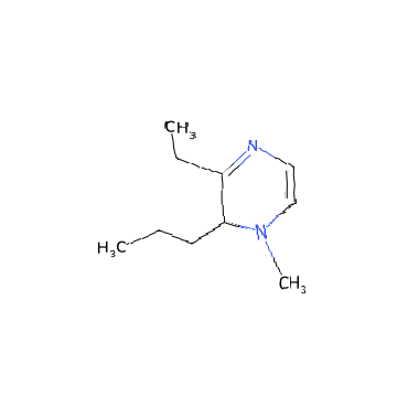 CCCC1C(CC)=NC=CN1C